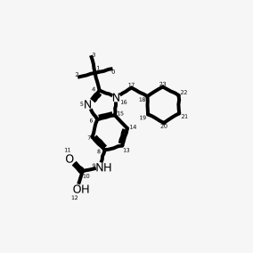 CC(C)(C)c1nc2cc(NC(=O)O)ccc2n1CC1CCCCC1